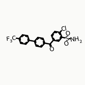 NS(=O)(=O)c1cc(C(=O)c2ccc(-c3ccc(C(F)(F)F)cc3)cc2)ccc1Cl